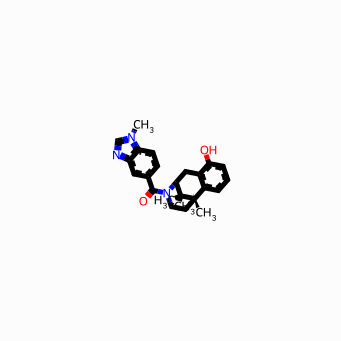 Cn1cnc2cc(C(=O)N3CC[C@@]4(C)c5cccc(O)c5CC3C4(C)C)ccc21